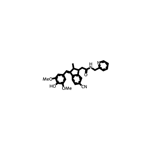 COc1cc(/C=C2\c3ccc(C#N)cc3C(CC(=O)NCc3ccccn3)C2C)cc(OC)c1O